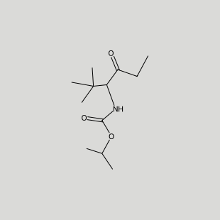 CCC(=O)C(NC(=O)OC(C)C)C(C)(C)C